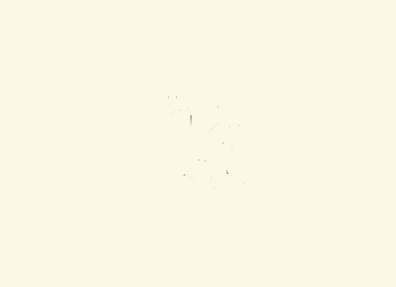 COC(=O)c1ccc2scc(-c3c(C)cccc3OC)c2c1